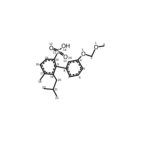 COCOc1cccc(-c2c(S(=O)(=O)O)ccc(C)c2CC(C)C)c1